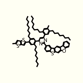 CCCCCCCCc1cc(-c2cc(-c3cc(CCCCCCCC)c(-c4cc5sc(C)cc5s4)cc3CCCCCCCC)nc(-c3ccc4sc5cc6oc7ccccc7c6cc5c4c3)n2)c(CCCCCCCC)cc1C